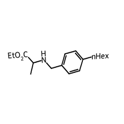 CCCCCCc1ccc(CNC(C)C(=O)OCC)cc1